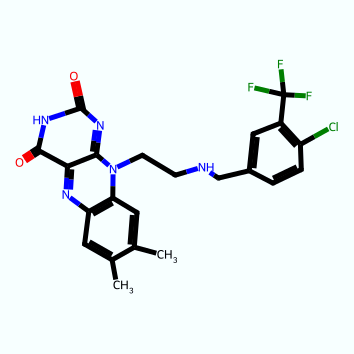 Cc1cc2nc3c(=O)[nH]c(=O)nc-3n(CCNCc3ccc(Cl)c(C(F)(F)F)c3)c2cc1C